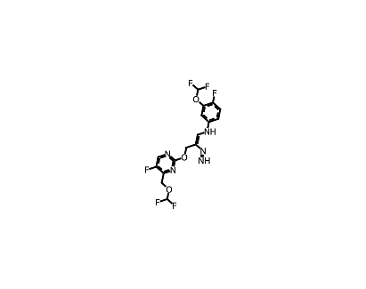 N=N/C(=C\Nc1ccc(F)c(OC(F)F)c1)COc1ncc(F)c(COC(F)F)n1